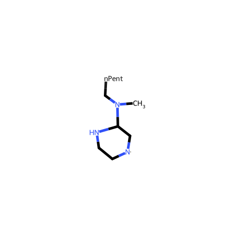 CCCCCCN(C)C1C[N]CCN1